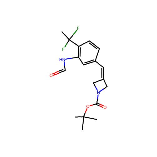 CC(C)(C)OC(=O)N1CC(=Cc2ccc(C(C)(F)F)c(NC=O)c2)C1